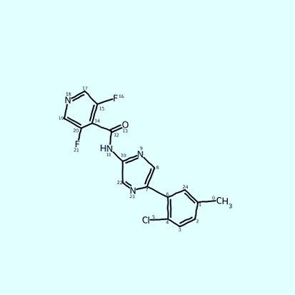 Cc1ccc(Cl)c(-c2cnc(NC(=O)c3c(F)cncc3F)cn2)c1